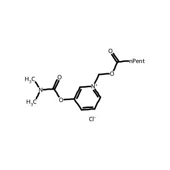 CCCCCC(=O)OC[n+]1cccc(OC(=O)N(C)C)c1.[Cl-]